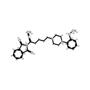 C=C=C(CCCCN1CCN(c2ccccc2OC)CC1)N1C(=O)c2ccccc2C1=O